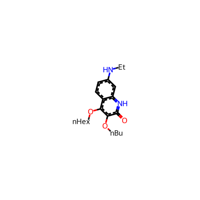 CCCCCCOc1c(OCCCC)c(=O)[nH]c2cc(NCC)ccc12